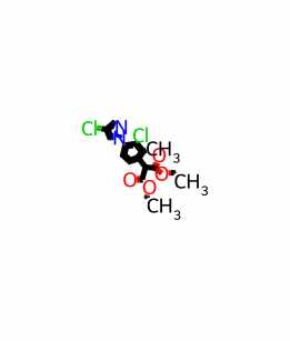 CCOC(=O)C(C(=O)OCC)c1ccc(-n2cc(Cl)cn2)c(Cl)c1C